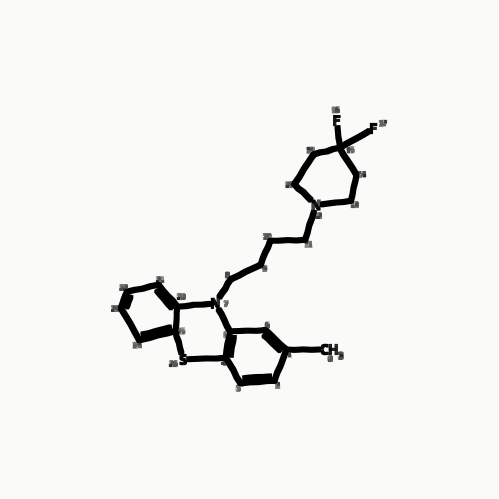 Cc1ccc2c(c1)N(CCCCN1CCC(F)(F)CC1)c1ccccc1S2